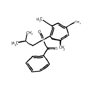 Cc1cc(C)c(P(=O)(CC(C)C)C(=O)c2ccccc2)c(C)c1